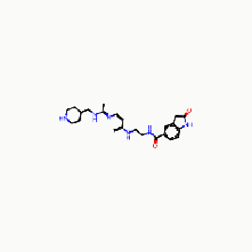 C=C(/C=C\N=C(/C)NCC1CCNCC1)NCCNC(=O)c1ccc2c(c1)CC(=O)N2